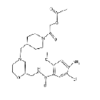 COc1cc(N)c(Cl)cc1C(=O)NCC1CN(CC2CCN(C(=O)COC(C)=O)CC2)CCO1